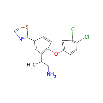 CC(CN)c1cc(-c2nccs2)ccc1Oc1ccc(Cl)c(Cl)c1